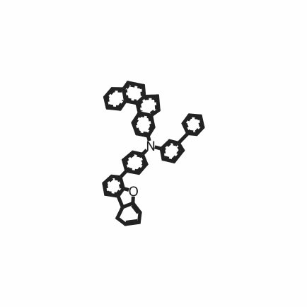 C1=CCC2C(=C1)Oc1c(-c3ccc(N(c4cccc(-c5ccccc5)c4)c4ccc5c(ccc6ccc7ccccc7c65)c4)cc3)cccc12